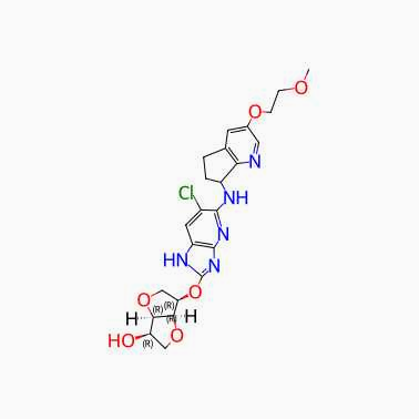 COCCOc1cnc2c(c1)CCC2Nc1nc2nc(O[C@@H]3CO[C@H]4[C@@H]3OC[C@H]4O)[nH]c2cc1Cl